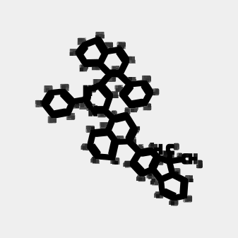 CC1(C)c2cc(-c3ccc(-c4cc(-c5c(-c6ccccc6)ccc6ccccc56)nc(-c5ccccc5)n4)c4ccccc34)ccc2C2C=CC=CC21